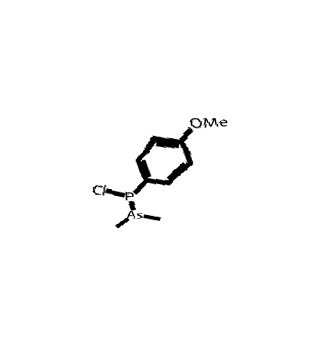 COc1ccc(P(Cl)[As](C)C)cc1